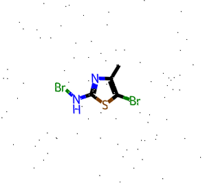 Cc1nc(NBr)sc1Br